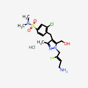 Cc1nn(C/C(F)=C/CN)c(CO)c1Cc1ccc(S(=O)(=O)N(C)C)cc1Cl.Cl